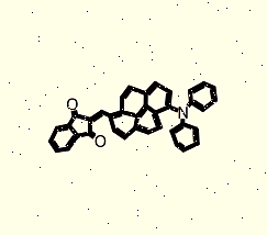 O=C1C(=Cc2ccc3ccc4c(N(c5ccccc5)c5ccccc5)ccc5ccc2c3c54)C(=O)c2ccccc21